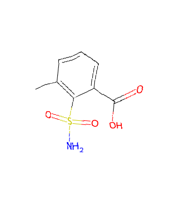 Cc1cccc(C(=O)O)c1S(N)(=O)=O